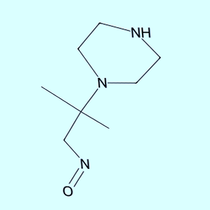 CC(C)(CN=O)N1CCNCC1